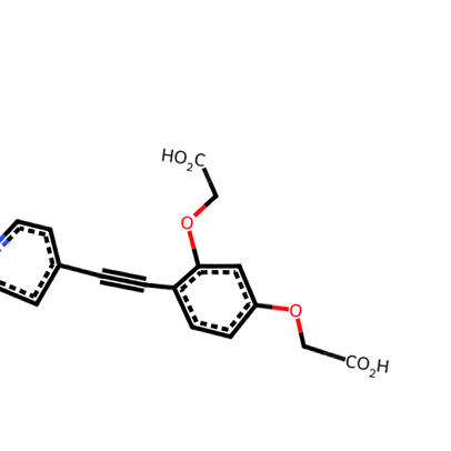 O=C(O)COc1ccc(C#Cc2ccncc2)c(OCC(=O)O)c1